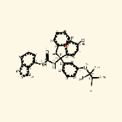 O=C(Nc1cccc2nsnc12)N[C@@](Cc1ccccc1)(c1cccc(OC(F)(F)C(F)F)c1)c1ccc(Cl)cn1